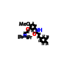 COc1ccc(NC(=O)C=Cc2ccc(C)c(C)c2)cc1OCCN(C(C)C)C(C)C